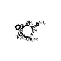 CCCCCC[C@H]1OCCNC(=O)[C@H](CO[C@H]2C[C@H](N)C2)NC(=O)[C@H](CN)NC(=O)[C@H](C2CCCCCC2)NC(=O)[C@H](CCC)N(C)C(=O)[C@@H]1C